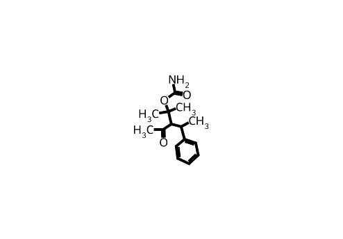 CC(=O)C(C(C)c1ccccc1)C(C)(C)OC(N)=O